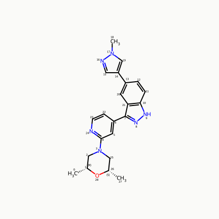 C[C@@H]1CN(c2cc(-c3n[nH]c4ccc(-c5cnn(C)c5)cc34)ccn2)C[C@H](C)O1